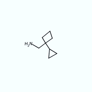 NCC1(C2CC2)CCC1